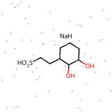 O=S(=O)(O)CCC1CCCC(O)C1O.[NaH]